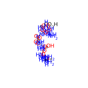 CCC(=O)N[C@](C)(CN)NCCNCC(CN)(CNCCN)NC(=O)CCCC(=O)NC(Cc1ccc(O)cc1)C(=O)NCCCCCC(=O)NC(CSC1CC(=O)N(CCCNCCCCC2NC(=O)C(Cc3ccccc3)NC(=O)C(CC(=O)O)NC(=O)CNC(=O)C(CCCNC(=N)N)NC2=O)C1=O)C(N)=O